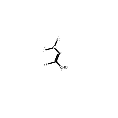 CCN(/C=C(\F)C=O)CC